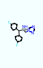 N[SiH](Cn1cncn1)C(c1ccc(F)cc1)c1ccc(F)cc1